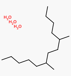 CCCCCC(C)CCC(C)CCCC.O.O.O